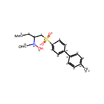 COCC(CS(=O)(=O)c1ccc(-c2ccc(C(F)(F)F)cc2)cc1)N(O)C=O